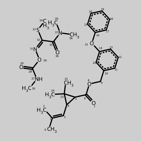 CC(C)=CC1C(C(=O)OCc2cccc(Oc3ccccc3)c2)C1(C)C.CNC(=O)O/N=C(/SC)C(=O)N(C)C